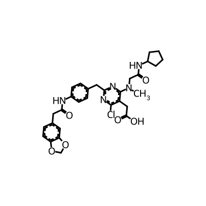 CN(CC(=O)NC1CCCC1)c1nc(Cc2ccc(NC(=O)Cc3ccc4c(c3)OCO4)cc2)nc(Cl)c1CC(=O)O